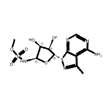 COS(=O)(=O)N[C@@H]1O[C@@H](n2nc(C)c3c(N)ncnc32)[C@H](O)[C@@H]1O